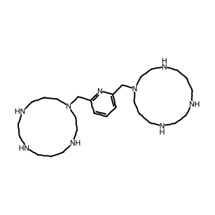 c1cc(CN2CCCNCCNCCCNCC2)nc(CN2CCCNCCNCCCNCC2)c1